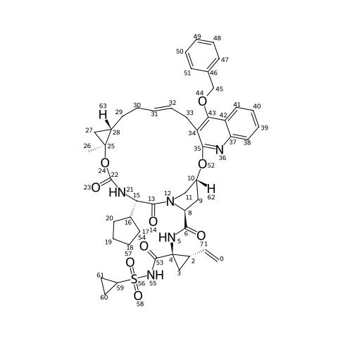 C=C[C@@H]1C[C@]1(NC(=O)[C@@H]1C[C@@H]2CN1C(=O)[C@H](C1CCCC1)NC(=O)O[C@@]1(C)C[C@@H]1CC/C=C/Cc1c(nc3ccccc3c1OCc1ccccc1)O2)C(=O)NS(=O)(=O)C1CC1